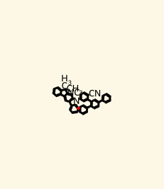 CC1(C)c2ccccc2-c2cc3c4ccccc4n(-c4cc(-c5cc(-c6ccccc6)ccc5-c5ccccc5)c(C#N)cc4C#N)c3cc21